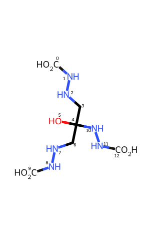 O=C(O)NNCC(O)(CNNC(=O)O)NNC(=O)O